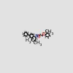 Cc1[c]cccc1OCCO/N=C(\CC(C)C)c1ccc(-c2ccccc2)cc1